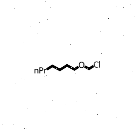 CCCCCCCOCCl